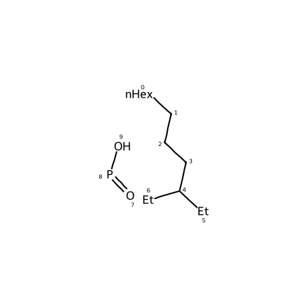 CCCCCCCCCC(CC)CC.O=PO